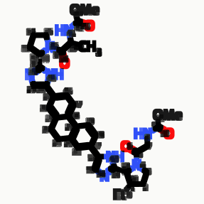 CC[C@@H]1CCN(C(=O)CNC(=O)OC)[C@@H]1c1ncc(-c2ccc3c(c2)CCc2cc(-c4cnc([C@@H]5CCCN5C(=O)[C@H](C)NC(=O)OC)[nH]4)ccc2-3)[nH]1